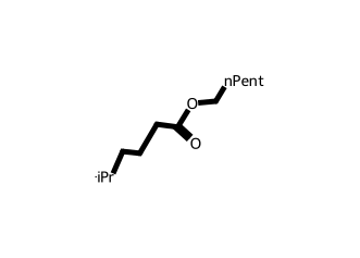 CCCCCCOC(=O)CCC[C](C)C